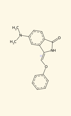 CN(C)c1ccc2c(c1)/C(=C/Oc1ccccc1)NC2=O